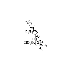 CCOC(=O)n1nc2c(c1NC(=O)c1ccc(N3CCN(C)CC3)c([N+](=O)[O-])c1)CNC2(C)C